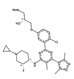 CNC[C@@H](O)COc1ccc(Cl)c(-c2nc(N[C@H]3CCN(C4CC4)C[C@H]3F)c(C)c(-c3c(C)noc3C)n2)c1